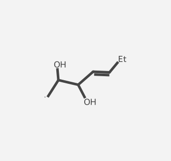 [CH2]C(O)C(O)C=CCC